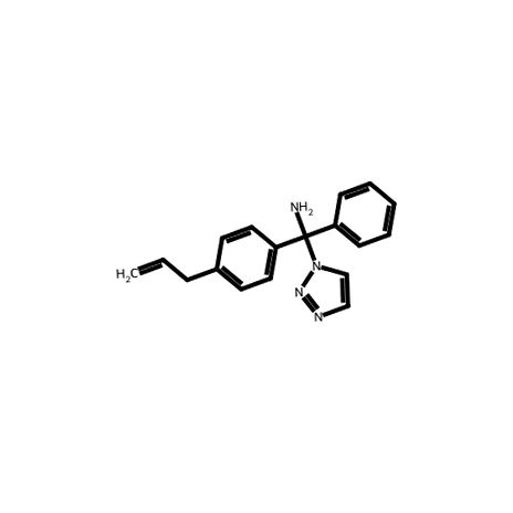 C=CCc1ccc(C(N)(c2ccccc2)n2ccnn2)cc1